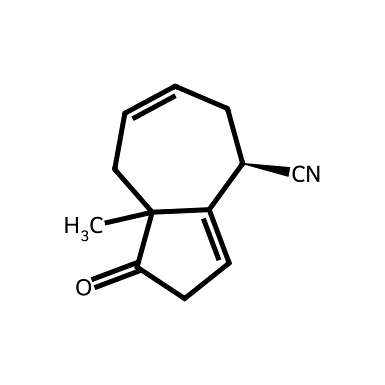 CC12CC=CC[C@@H](C#N)C1=CCC2=O